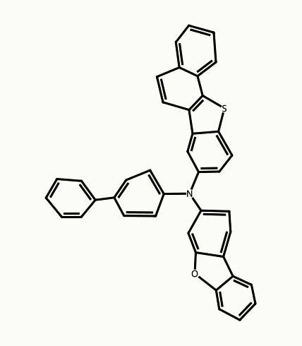 c1ccc(-c2ccc(N(c3ccc4c(c3)oc3ccccc34)c3ccc4sc5c6ccccc6ccc5c4c3)cc2)cc1